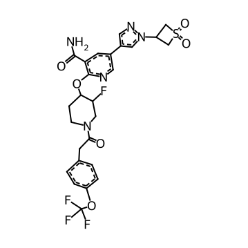 NC(=O)c1cc(-c2cnn(C3CS(=O)(=O)C3)c2)cnc1OC1CCN(C(=O)Cc2ccc(OC(F)(F)F)cc2)CC1F